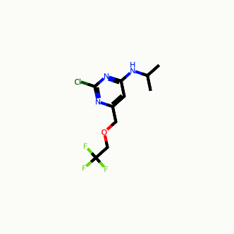 CC(C)Nc1cc(COCC(F)(F)F)nc(Cl)n1